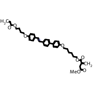 C=CC(=O)OCCCCOc1ccc(/C=C/c2ccc(-c3ccc(OCCCCCCOC(=O)C(=C)CC(=O)OC)cc3)cc2)cc1